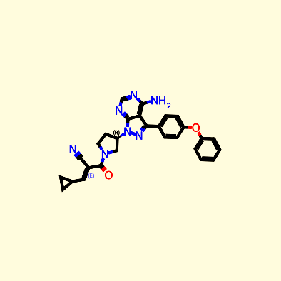 N#C/C(=C\C1CC1)C(=O)N1CC[C@@H](n2nc(-c3ccc(Oc4ccccc4)cc3)c3c(N)ncnc32)C1